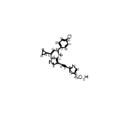 O=S(=O)(O)c1cnc(C#Cc2cnn3c(C4CC4)cc(-c4ccc(Cl)cc4)nc23)s1